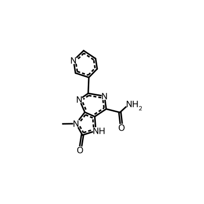 Cn1c(=O)[nH]c2c(C(N)=O)nc(-c3cccnc3)nc21